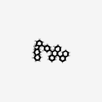 C1=CC2=C(c3cccc4c3CCC=C4)c3ccccc3C(c3ccc(-c4cccc5sc6cc7ccccc7cc6c45)cc3)C2C=C1